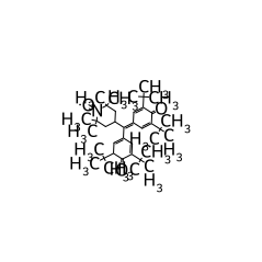 CC(C)(C)C1=CC(=C(C2=CC(C(C)(C)C)C(=O)C(C(C)(C)C)=C2)C2CC(C)(C)N([O])C(C)(C)C2)C=C(C(C)(C)C)C1=O